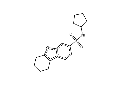 O=S(=O)(NC1CCCC1)c1ccc2c3c(oc2c1)CCCC3